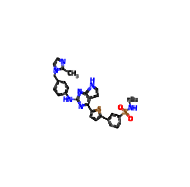 CCCCNS(=O)(=O)c1cccc(-c2ccc(-c3nc(Nc4ccc(Cn5ccnc5C)cc4)nc4[nH]ccc34)s2)c1